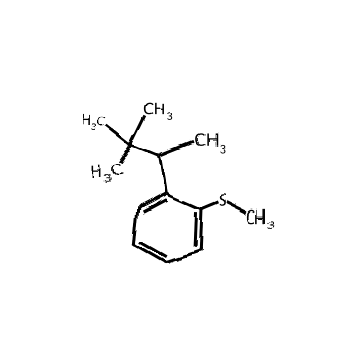 CSc1ccccc1C(C)C(C)(C)C